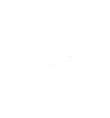 COc1cc(C)n2c1C(Cl)=Nc1ccc(Cl)cc1C2